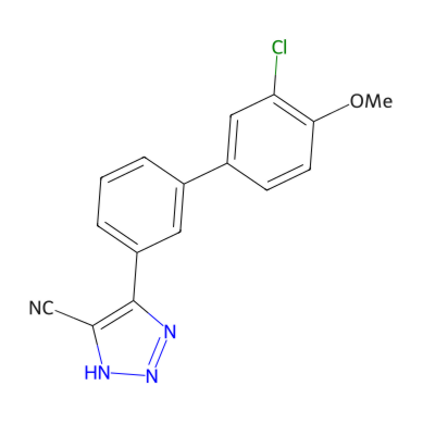 COc1ccc(-c2cccc(-c3nn[nH]c3C#N)c2)cc1Cl